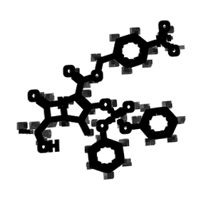 CC1C(OP(=O)(Oc2ccccc2)Oc2ccccc2)=C(C(=O)OCc2ccc([N+](=O)[O-])cc2)N2C(=O)C([C@@H](C)O)C12